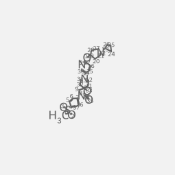 CS(=O)(=O)c1ccc(N2CC3(CCN(c4ccc(OC5CCN(C6CCC6)CC5)nc4)CC3)OC2=O)cc1